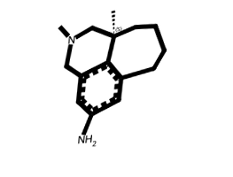 CN1Cc2cc(N)cc3c2[C@](C)(CCCC3)C1